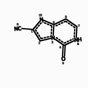 N#Cc1cn2c(=O)[nH]ccc2n1